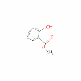 COC(=O)c1c[c]ccc1O